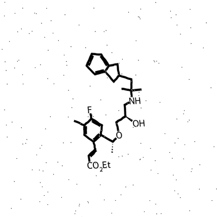 CCOC(=O)/C=C/c1cc(C)c(F)cc1[C@@H](C)OC[C@H](O)CNC(C)(C)CC1Cc2ccccc2C1